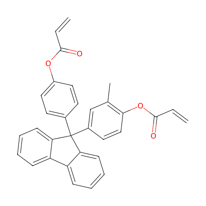 C=CC(=O)Oc1ccc(C2(c3ccc(OC(=O)C=C)c(C)c3)c3ccccc3-c3ccccc32)cc1